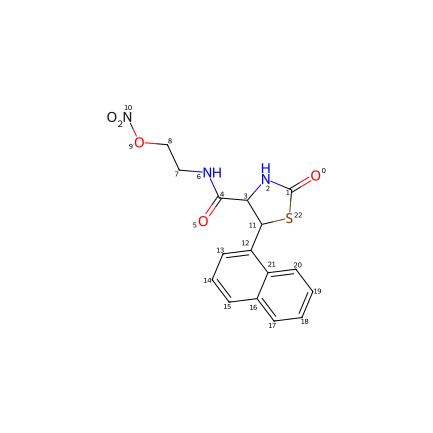 O=C1NC(C(=O)NCCO[N+](=O)[O-])C(c2cccc3ccccc23)S1